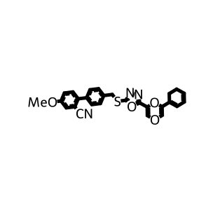 COc1ccc(-c2ccc(CSc3nnc(C4=COC=C(C5=CC=CCC5)O4)o3)cc2)c(C#N)c1